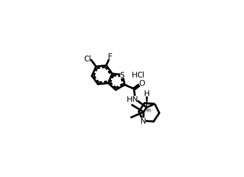 CC1(C)[C@H](NC(=O)c2cc3ccc(Cl)c(F)c3s2)C2CCN1CC2.Cl